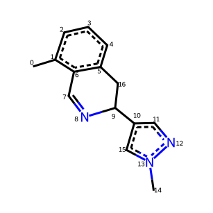 Cc1cccc2c1C=NC(c1cnn(C)c1)C2